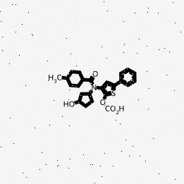 CC1CCC(C(=O)N(c2cc(-c3ccccc3)sc2OC(=O)O)C2CCC(O)C2)CC1